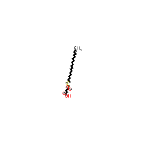 CCCCCCCCCCCCCCCCCCCCSSOC(=O)CCC(=O)O